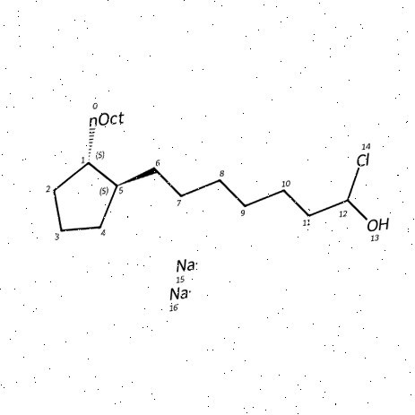 CCCCCCCC[C@H]1CCC[C@@H]1CCCCCCC(O)Cl.[Na].[Na]